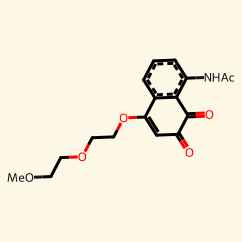 COCCOCCOC1=CC(=O)C(=O)c2c(NC(C)=O)cccc21